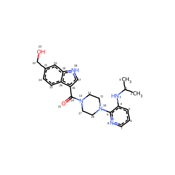 CC(C)Nc1cccnc1N1CCN(C(=O)c2c[nH]c3cc(CO)ccc23)CC1